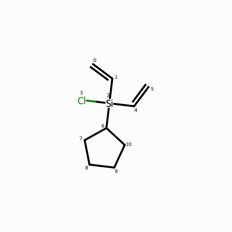 C=C[Si](Cl)(C=C)C1CCCC1